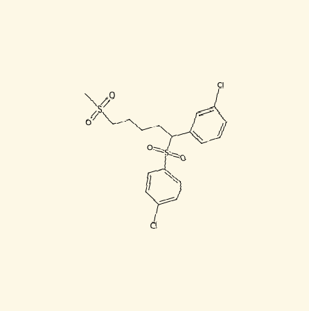 CS(=O)(=O)CCCCC(c1cccc(Cl)c1)S(=O)(=O)c1ccc(Cl)cc1